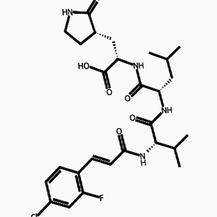 CC(C)C[C@H](NC(=O)[C@@H](NC(=O)/C=C/c1ccc(Cl)cc1F)C(C)C)C(=O)N[C@@H](C[C@@H]1CCNC1=O)C(=O)O